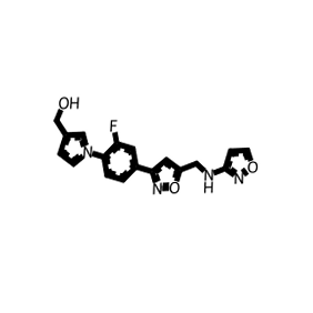 OCc1ccn(-c2ccc(-c3cc(CNc4ccon4)on3)cc2F)c1